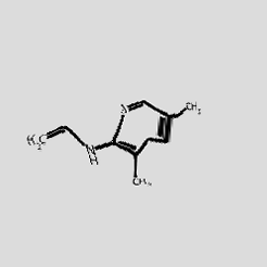 C=CNc1ncc(C)cc1C